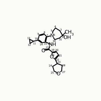 CC1(O)CCCN(c2ccc(C3CC3)cc2NC(=O)c2ccc(C3CCOCC3)o2)CC1